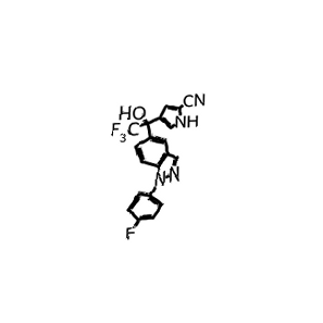 N#Cc1cc(C(O)(c2ccc3c(cnn3-c3ccc(F)cc3)c2)C(F)(F)F)c[nH]1